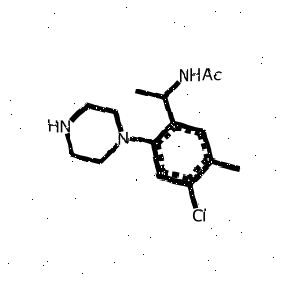 CC(=O)NC(C)c1cc(C)c(Cl)cc1N1CCNCC1